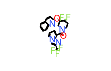 O=C(c1cccn2cc(C(F)(F)F)nc12)N1CCC(F)(F)[C@@H](Oc2ccc3ccccc3n2)C1